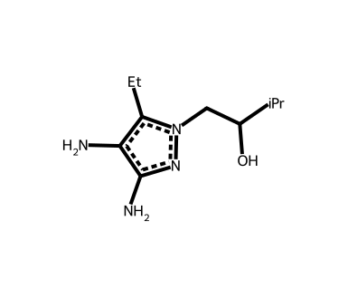 CCc1c(N)c(N)nn1CC(O)C(C)C